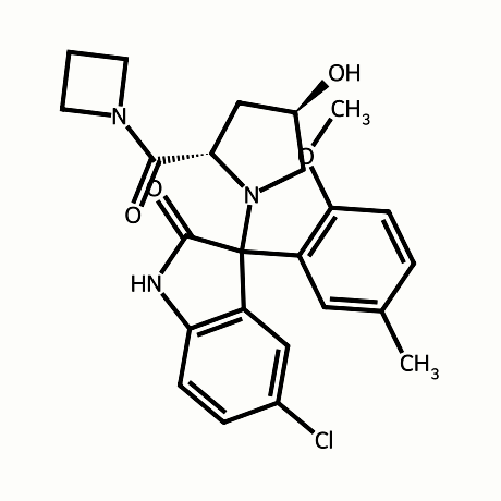 COc1ccc(C)cc1C1(N2C[C@H](O)C[C@H]2C(=O)N2CCC2)C(=O)Nc2ccc(Cl)cc21